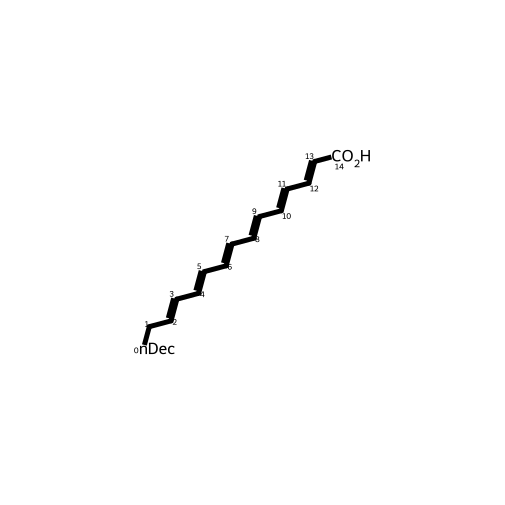 CCCCCCCCCCCC=CC=CC=CC=CC=CC=CC(=O)O